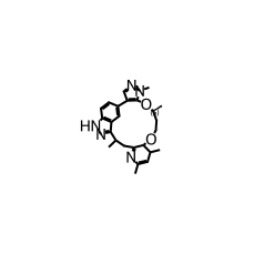 CC1=CC(C)C2OCC[C@H](C)Oc3c(cnn3C)-c3ccc4[nH]nc(c4c3)C(C)CC2=N1